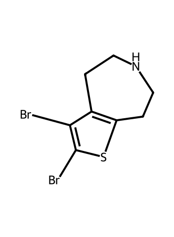 Brc1sc2c(c1Br)CCNCC2